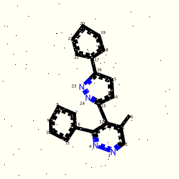 Cc1[c]nnc(-c2ccccc2)c1-c1ccc(-c2ccccc2)nn1